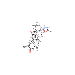 Cc1nnc([C@]23CCC(C)(C)C[C@H]2[C@H]2C(=O)C=C4[C@@]5(C)C=C(C#N)C(=O)[C@@H](C)[C@@H]5CC[C@@]4(C)[C@]2(C)CC3)o1